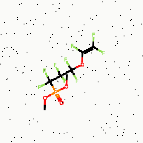 COP(=O)(OC)C(F)(F)C(F)(F)C(F)(F)OC(F)=C(F)F